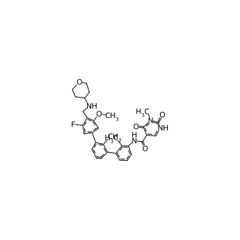 COc1cc(-c2cccc(-c3cccc(NC(=O)c4c[nH]c(=O)n(C)c4=O)c3C)c2C)cc(F)c1CNC1CCOCC1